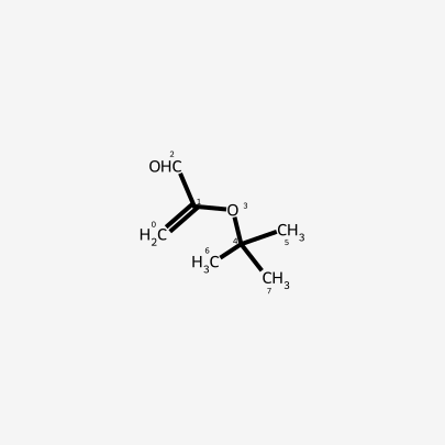 C=C(C=O)OC(C)(C)C